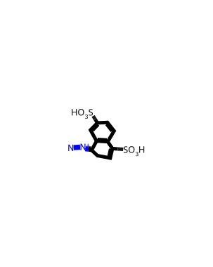 [N-]=[N+]=C1CC=C(S(=O)(=O)O)c2ccc(S(=O)(=O)O)cc21